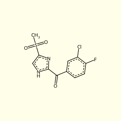 CS(=O)(=O)c1c[nH]c(C(=O)c2ccc(F)c(Cl)c2)n1